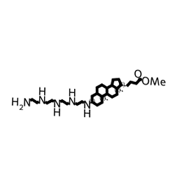 COC(=O)CCC[C@H]1CCC2C3CCC4C[C@@H](NCCNCCNCCNCCN)CC[C@]4(C)C3CC[C@@]21C